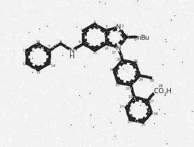 CCCCc1nc2ccc(NCc3ccccc3)cc2n1-c1ccc(-c2ccccc2C(=O)O)c(C)c1